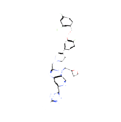 Fc1cc(Cl)ccc1COc1cc(C2=CCN(Cc3nc4cc(-c5nnc(C(F)(F)F)[nH]5)ncc4n3CC3CCO3)CC2)ccc1F